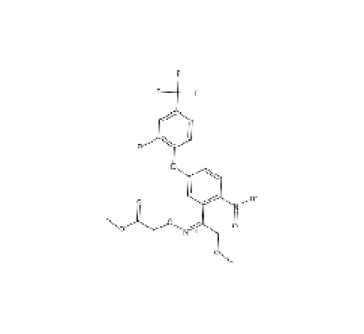 COC/C(=N/OCC(=O)OC)c1cc(Oc2ccc(C(F)(F)F)cc2Cl)ccc1[N+](=O)[O-]